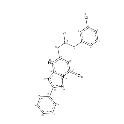 CN(Cc1cccc(Cl)c1)Cc1cc(=O)n2nc(-c3ccccc3)nc2[nH]1